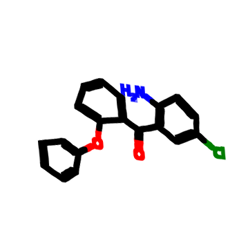 Nc1ccc(Cl)cc1C(=O)c1ccccc1Oc1ccccc1